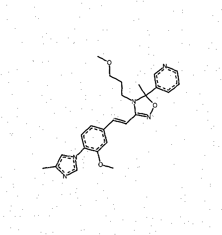 COCCCN1C(/C=C/c2ccc(-n3cnc(C)c3)c(OC)c2)=NOC1(C)c1cccnc1